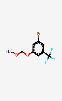 COCOc1cc(Br)cc(C(F)(F)F)c1